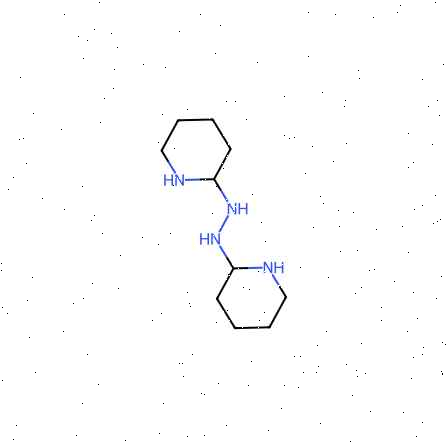 C1CCC(NNC2CCCCN2)NC1